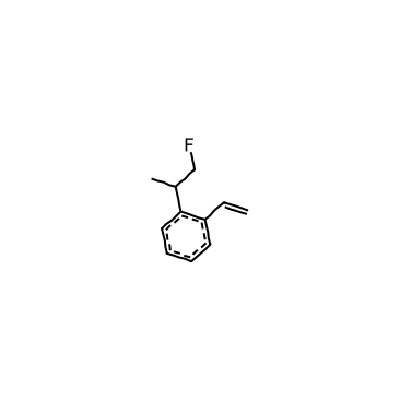 C=Cc1ccccc1C(C)CF